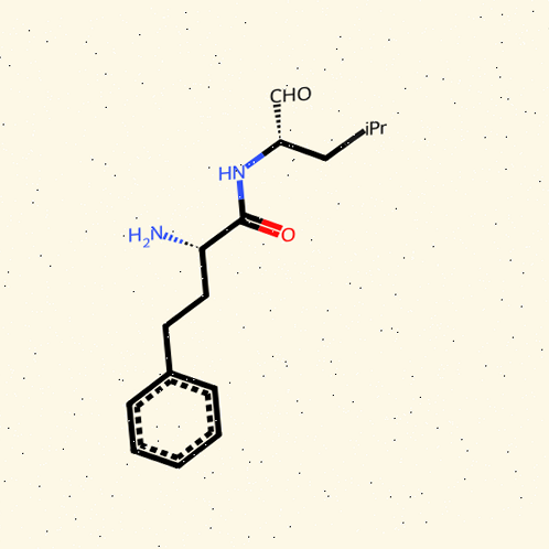 CC(C)C[C@@H](C=O)NC(=O)[C@@H](N)CCc1ccccc1